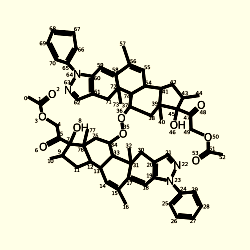 CC(=O)OCC(=O)C1(O)C(C)CC2C3C=C(C)C4=Cc5c(cnn5-c5ccccc5)CC4(C)C3C(OOC3CC4(C)C(CC(C)C4(O)C(=O)COC(C)=O)C4C=C(C)C5=Cc6c(cnn6-c6ccccc6)CC5(C)C34)CC21C